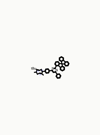 CC1=C\CC(C)/C(C(C)(C)C)=C/C=C\1c1ccc(-c2cc(-c3ccccc3)nc(-c3cccc4c3-c3ccccc3C43c4ccccc4-c4ccccc43)n2)cc1